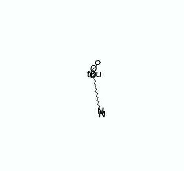 CC(C)(C)CC(COCCCCCCCCCCCCCCCCn1ccnc1)OCc1ccccc1